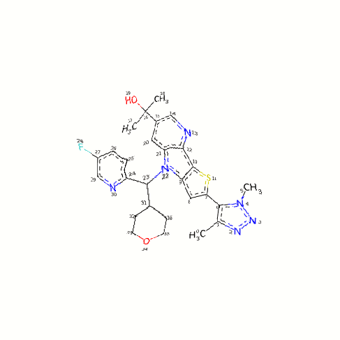 Cc1nnn(C)c1-c1cc2c(s1)c1ncc(C(C)(C)O)cc1n2C(c1ccc(F)cn1)C1CCOCC1